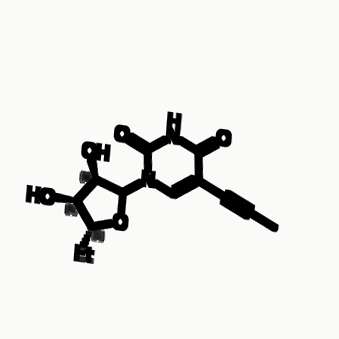 CC#Cc1cn(C2O[C@H](CC)[C@@H](O)[C@H]2O)c(=O)[nH]c1=O